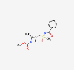 C[C@H]1[C@H](CS(C)(=O)=NC(=O)c2ccccc2)CN1C(=O)OC(C)(C)C